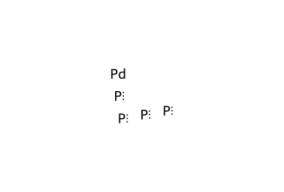 [P].[P].[P].[P].[Pd]